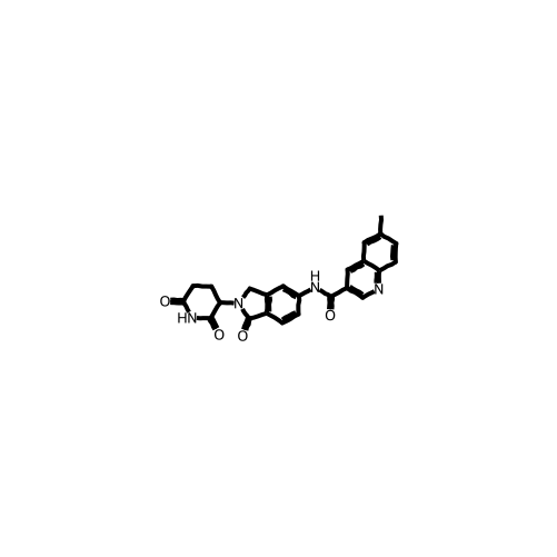 Cc1ccc2ncc(C(=O)Nc3ccc4c(c3)CN(C3CCC(=O)NC3=O)C4=O)cc2c1